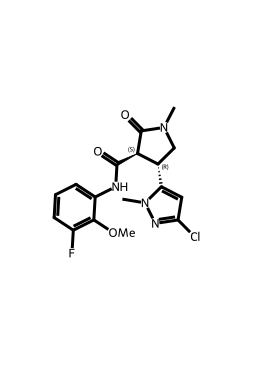 COc1c(F)cccc1NC(=O)[C@H]1C(=O)N(C)C[C@@H]1c1cc(Cl)nn1C